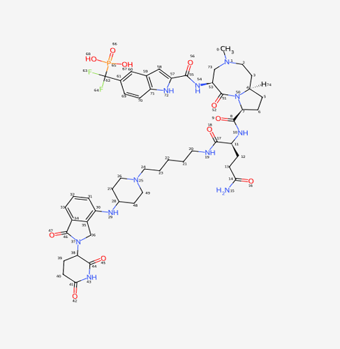 CN1CC[C@H]2CC[C@@H](C(=O)N[C@@H](CCC(N)=O)C(=O)NCCCCCN3CCC(Nc4cccc5c4CN(C4CCC(=O)NC4=O)C5=O)CC3)N2C(=O)[C@@H](NC(=O)c2cc3cc(C(F)(F)P(=O)(O)O)ccc3[nH]2)C1